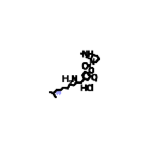 CNCC1CCCCN1C(=O)Oc1ccc(CC(N)CCCC/C=C/C(C)C)cc1OC.Cl